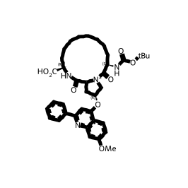 COc1ccc2c(O[C@@H]3CC4C(=O)N[C@@H](C(=O)O)CCCCCCCC[C@H](NC(=O)OC(C)(C)C)C(=O)[N+]4C3)cc(-c3ccccc3)nc2c1